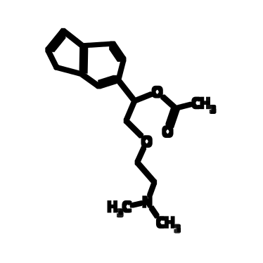 CC(=O)OC(COCCN(C)C)c1ccc2c(c1)CC=C2